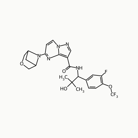 CC(C)(O)C(NC(=O)c1cnn2ccc(N3C4COCC3C4)nc12)c1ccc(OC(F)(F)F)c(F)c1